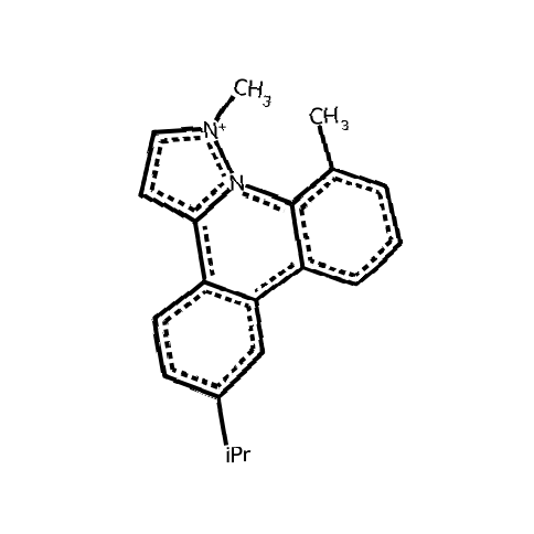 Cc1cccc2c3cc(C(C)C)ccc3c3cc[n+](C)n3c12